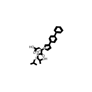 CC(C)C[C@H](NC(=O)[C@@H](CC(=O)O)n1ccc(-c2ccc(-c3ccccc3)cc2)c1)C(C)O